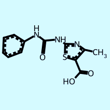 Cc1nc(NC(=O)Nc2ccccc2)sc1C(=O)O